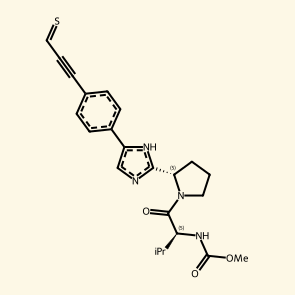 COC(=O)N[C@H](C(=O)N1CCC[C@H]1c1ncc(-c2ccc(C#CC=S)cc2)[nH]1)C(C)C